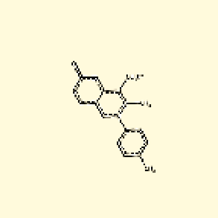 CCOC(=O)c1c2cc(=O)ccc-2cn(-c2ccc(C)cc2)c1C